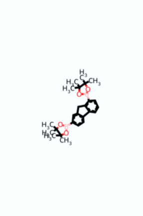 CC1(C)OB(c2ccc3c(c2)Cc2c(B4OC(C)(C)C(C)(C)O4)cccc2-3)OC1(C)C